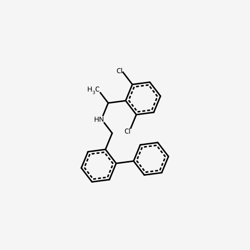 CC(NCc1ccccc1-c1ccccc1)c1c(Cl)cccc1Cl